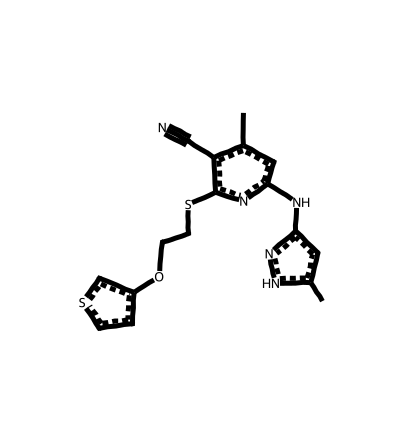 Cc1cc(Nc2cc(C)c(C#N)c(SCCOc3ccsc3)n2)n[nH]1